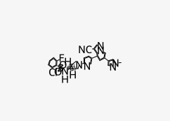 Cn1cc(-c2cc(-c3ccc(N4C[C@@H]5[C@H](C4)[C@@H]5NS(=O)(=O)c4c(F)cccc4Cl)nc3)c3c(C#N)cnn3c2)cn1